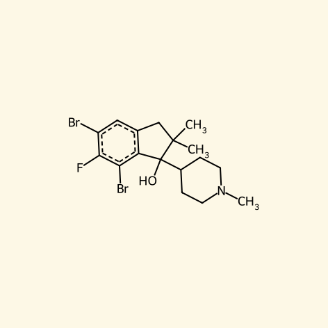 CN1CCC(C2(O)c3c(cc(Br)c(F)c3Br)CC2(C)C)CC1